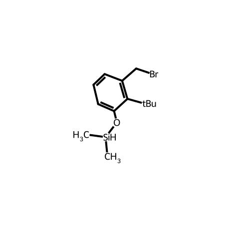 C[SiH](C)Oc1cccc(CBr)c1C(C)(C)C